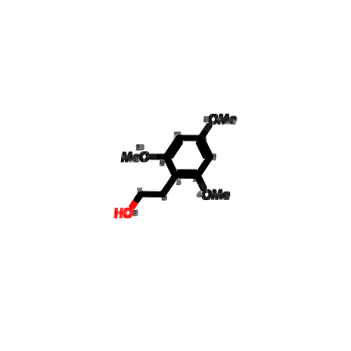 COc1cc(OC)c(CCO)c(OC)c1